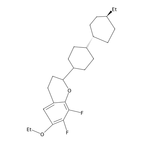 CCOc1cc2c(c(F)c1F)OC(C1CCC([C@H]3CC[C@H](CC)CC3)CC1)CC2